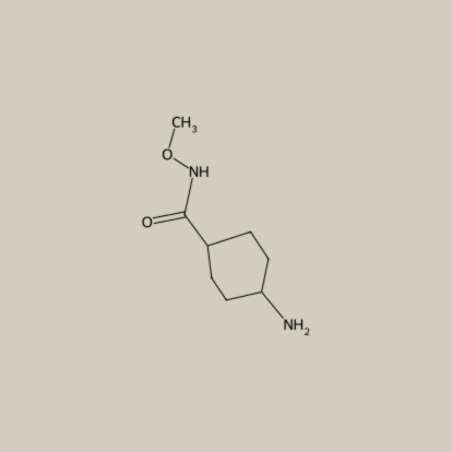 CONC(=O)C1CCC(N)CC1